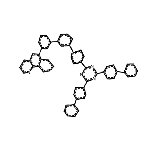 c1ccc(-c2ccc(-c3nc(-c4ccc(-c5ccccc5)cc4)nc(-c4ccc(-c5cccc(-c6cccc(-c7cc8cccnc8c8ccccc78)c6)c5)cc4)n3)cc2)cc1